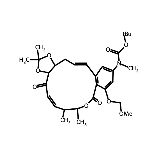 COCOc1cc(N(C)C(=O)OC(C)(C)C)cc2c1C(=O)OC(C)C(C)/C=C\C(=O)C1OC(C)(C)OC1C/C=C/2